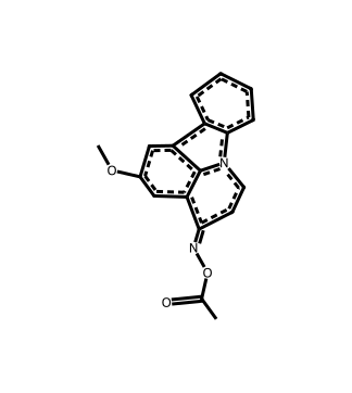 COc1cc2/c(=N/OC(C)=O)ccn3c4ccccc4c(c1)c23